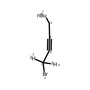 [2H]C([2H])(Br)C#CCCCCC